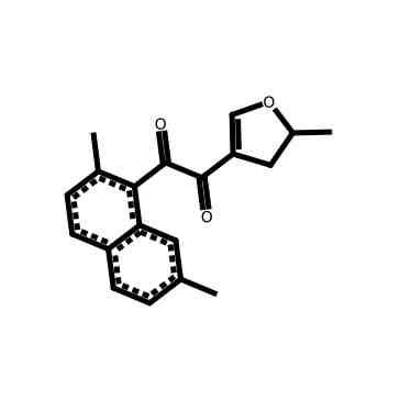 Cc1ccc2ccc(C)c(C(=O)C(=O)C3=COC(C)C3)c2c1